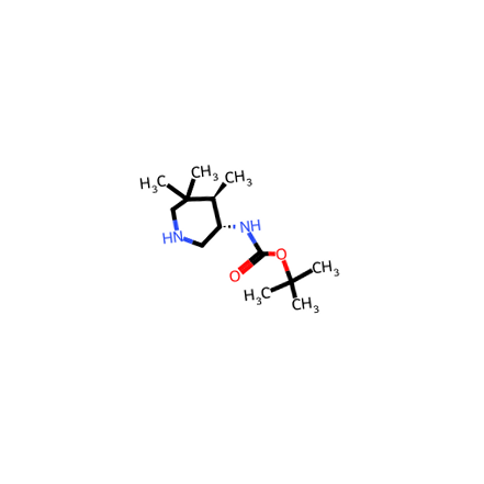 C[C@H]1[C@H](NC(=O)OC(C)(C)C)CNCC1(C)C